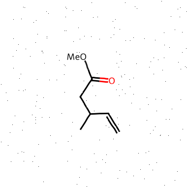 C=CC(C)CC(=O)OC